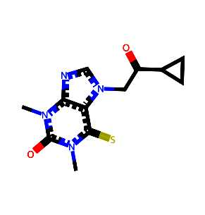 Cn1c(=S)c2c(ncn2CC(=O)C2CC2)n(C)c1=O